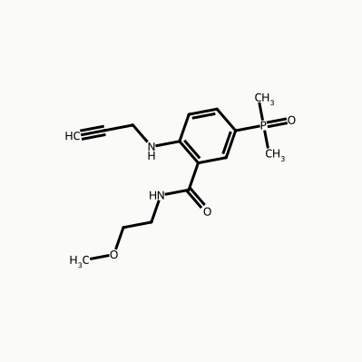 C#CCNc1ccc(P(C)(C)=O)cc1C(=O)NCCOC